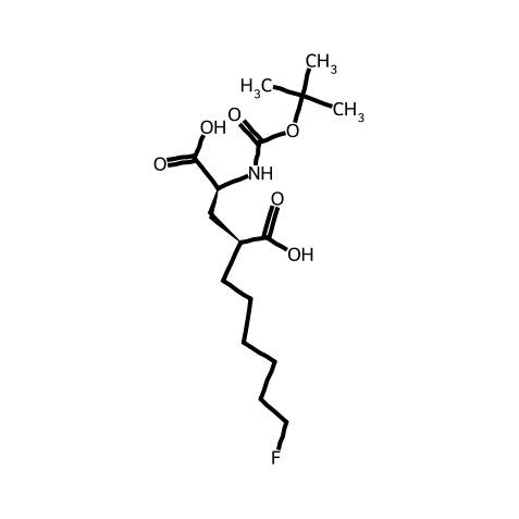 CC(C)(C)OC(=O)N[C@@H](C[C@H](CCCCCCF)C(=O)O)C(=O)O